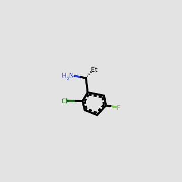 CC[C@@H](N)c1cc(F)ccc1Cl